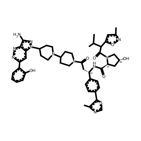 Cc1cc(C(C(=O)N2C[C@H](O)C[C@H]2C(=O)N[C@@H](CC(=O)N2CCC(N3CCC(n4nc(N)c5nnc(-c6ccccc6O)cc54)CC3)CC2)c2ccc(-c3scnc3C)cc2)C(C)C)on1